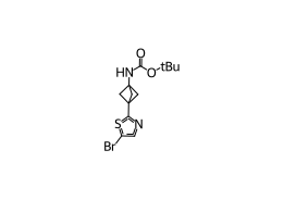 CC(C)(C)OC(=O)NC12CC(c3ncc(Br)s3)(C1)C2